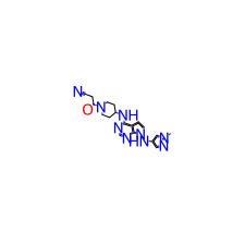 Cn1cc(Nn2ccc3c(NC4CCN(C(=O)CC#N)CC4)ncnc32)cn1